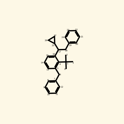 CC(C)(C)c1c(Cc2ccccc2)cccc1[C](Cc1ccccc1)C1CC1